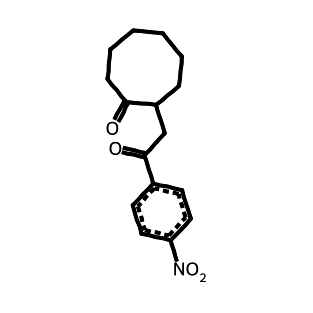 O=C(CC1CCCCCCC1=O)c1ccc([N+](=O)[O-])cc1